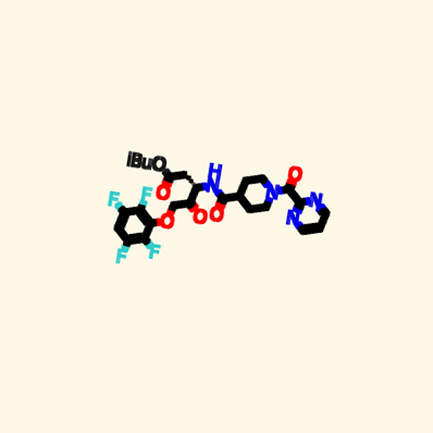 CC(C)COC(=O)C[C@H](NC(=O)C1CCN(C(=O)c2ncccn2)CC1)C(=O)COc1c(F)c(F)cc(F)c1F